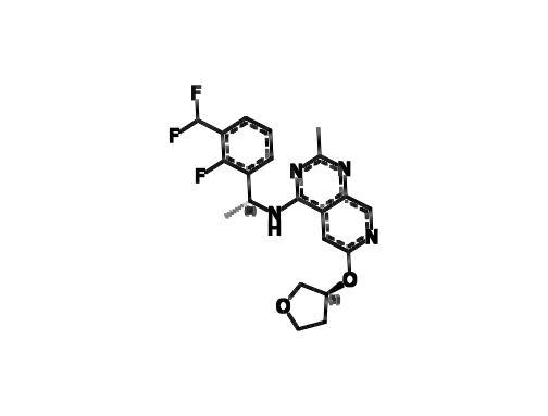 Cc1nc(N[C@H](C)c2cccc(C(F)F)c2F)c2cc(O[C@H]3CCOC3)ncc2n1